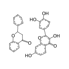 O=C1CC(c2ccccc2)Oc2ccccc21.O=c1c(O)c(-c2ccc(O)c(O)c2)oc2cc(O)ccc12